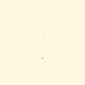 COCCCn1cc(CNC2CC2)c2cc(Br)ccc21